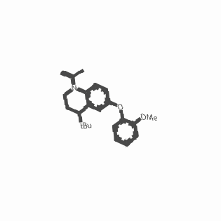 C=C(C)N1CCC(C(C)(C)C)c2cc(Oc3ccccc3OC)ccc21